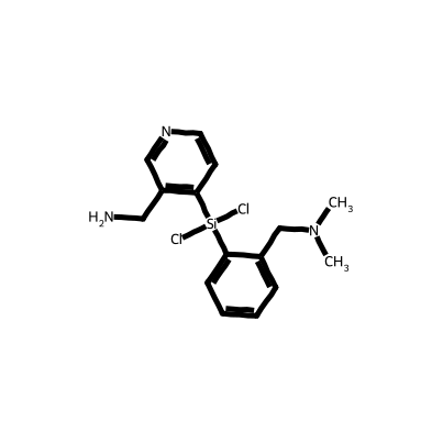 CN(C)Cc1ccccc1[Si](Cl)(Cl)c1ccncc1CN